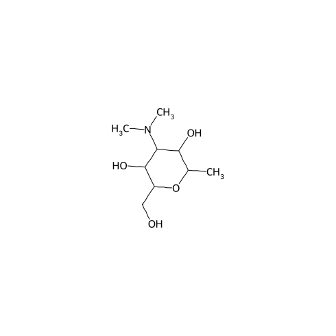 CC1OC(CO)C(O)C(N(C)C)C1O